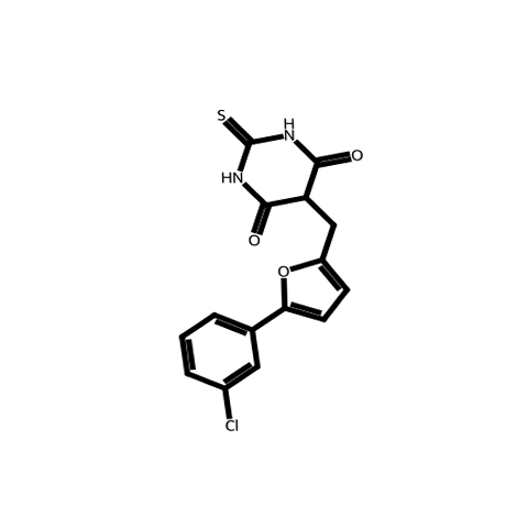 O=C1NC(=S)NC(=O)C1Cc1ccc(-c2cccc(Cl)c2)o1